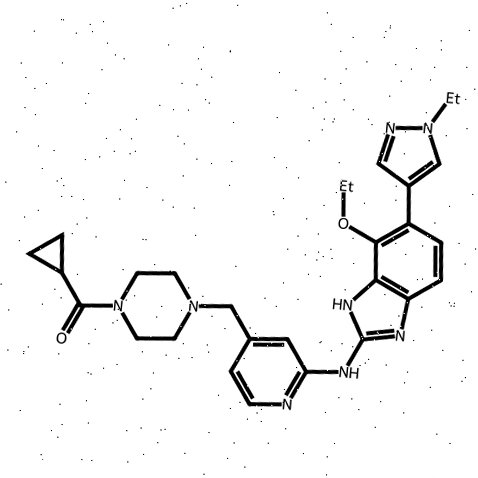 CCOc1c(-c2cnn(CC)c2)ccc2nc(Nc3cc(CN4CCN(C(=O)C5CC5)CC4)ccn3)[nH]c12